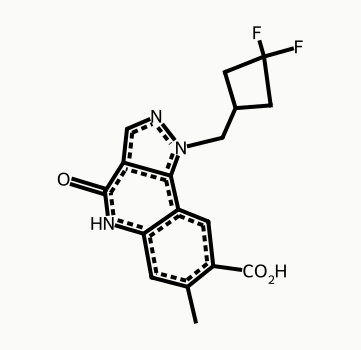 Cc1cc2[nH]c(=O)c3cnn(CC4CC(F)(F)C4)c3c2cc1C(=O)O